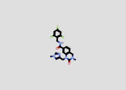 CN1Cc2ccc(C(=O)NCc3c(F)cc(F)cc3F)cc2N(Cc2cn(C)cn2)C1=O